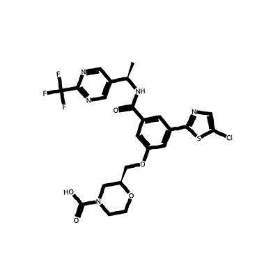 C[C@@H](NC(=O)c1cc(OC[C@@H]2CN(C(=O)O)CCO2)cc(-c2ncc(Cl)s2)c1)c1cnc(C(F)(F)F)nc1